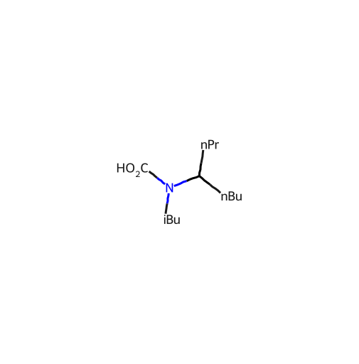 CCCCC(CCC)N(C(=O)O)C(C)CC